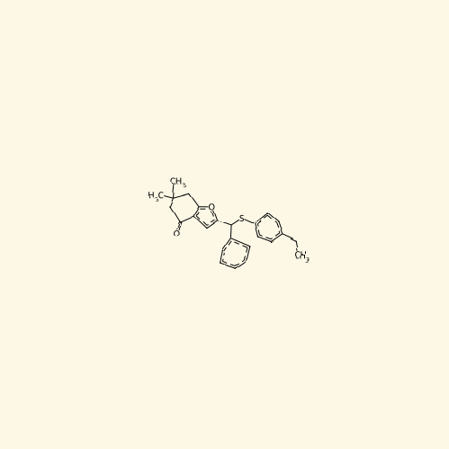 CCc1ccc(SC(c2ccccc2)c2cc3c(o2)CC(C)(C)CC3=O)cc1